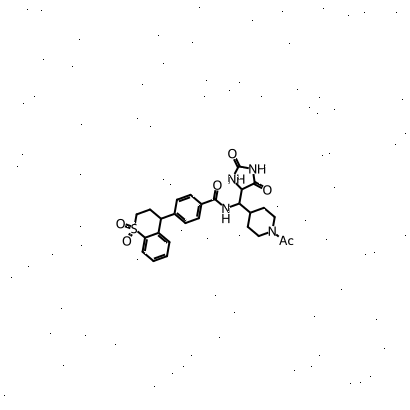 CC(=O)N1CCC(C(NC(=O)c2ccc(C3CCS(=O)(=O)c4ccccc43)cc2)C2NC(=O)NC2=O)CC1